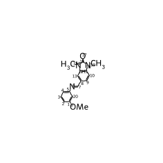 COc1cccc(N=Cc2ccc3c(c2)n(C)c(=O)n3C)c1